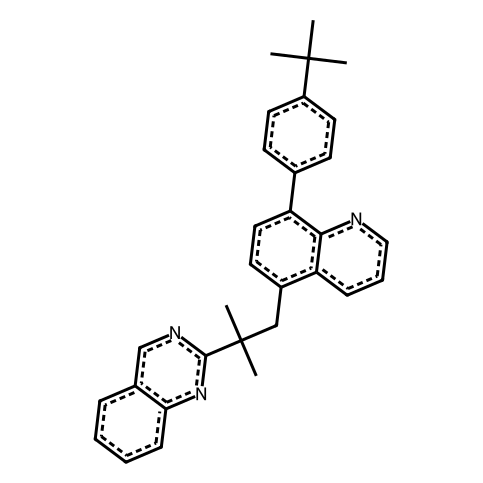 CC(C)(C)c1ccc(-c2ccc(CC(C)(C)c3ncc4ccccc4n3)c3cccnc23)cc1